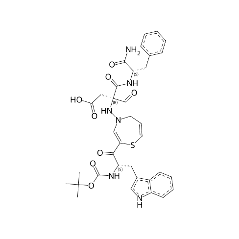 CC(C)(C)OC(=O)N[C@@H](Cc1c[nH]c2ccccc12)C(=O)C1=CN(N[C@@](C=O)(CC(=O)O)C(=O)N[C@@H](Cc2ccccc2)C(N)=O)CC=CS1